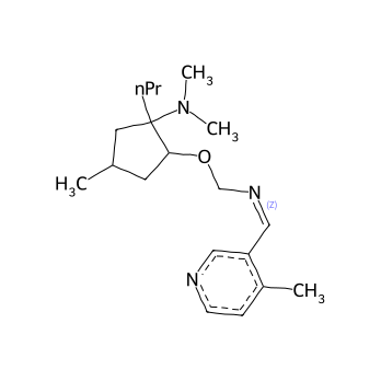 CCCC1(N(C)C)CC(C)CC1OC/N=C\c1cnccc1C